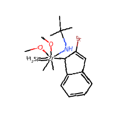 C[O][Zr]([CH3])([CH3])(=[SiH2])([NH]C(C)(C)C)([O]C)[CH]1C(Br)=Cc2ccccc21